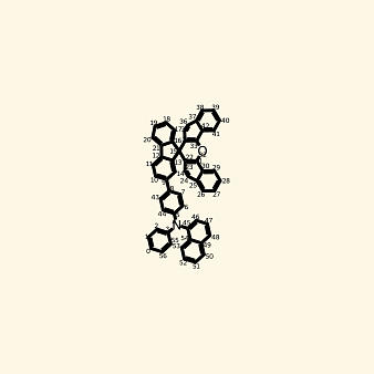 c1ccc(N(c2ccc(-c3ccc4c(c3)C3(c5ccccc5-4)c4ccc5ccccc5c4Oc4c3ccc3ccccc43)cc2)c2cccc3ccccc23)cc1